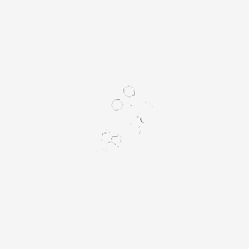 CC(=O)Nc1ncnc2c1ncn2[C@@H]1O[C@H](CO[Si](c2ccccc2)(c2ccccc2)C(C)(C)C)C(C)(OC(C)=O)C1OC(C)=O